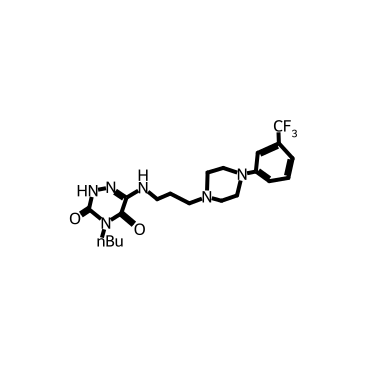 CCCCn1c(=O)[nH]nc(NCCCN2CCN(c3cccc(C(F)(F)F)c3)CC2)c1=O